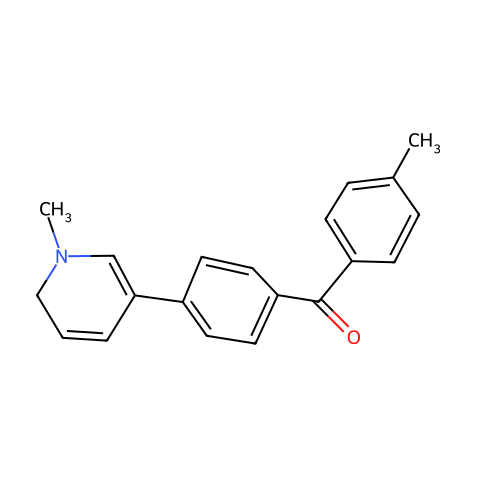 Cc1ccc(C(=O)c2ccc(C3=CN(C)CC=C3)cc2)cc1